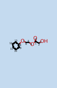 O=C(CO)OCCOc1ccccc1